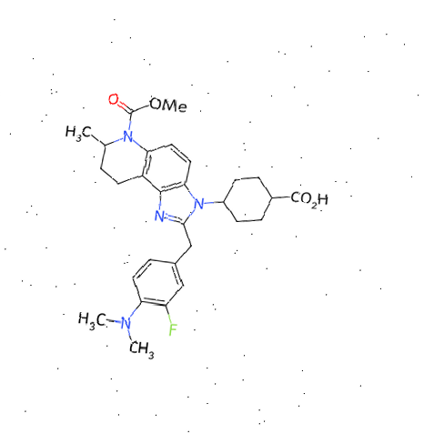 COC(=O)N1c2ccc3c(nc(Cc4ccc(N(C)C)c(F)c4)n3C3CCC(C(=O)O)CC3)c2CCC1C